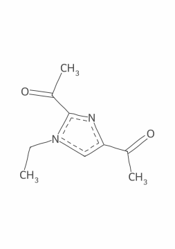 CCn1cc(C(C)=O)nc1C(C)=O